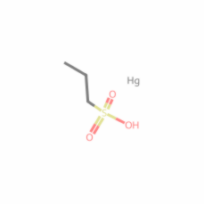 CCCS(=O)(=O)O.[Hg]